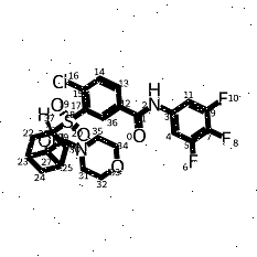 O=C(Nc1cc(F)c(F)c(F)c1)c1ccc(Cl)c(S(=O)(=O)[C@H]2CC3CC(C2)[C@]3(O)CN2CCOCC2)c1